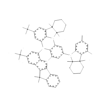 Cc1cc(C)c2c(c1)N(c1cc3c4c(c1)-n1c5c(c6cc(C(C)(C)C)cc(c61)B4c1cc(C(C)(C)C)cc4c1N3C1(C)CCCCC41C)C(C)(C)c1ccccc1-5)C1(C)CCCCC21C